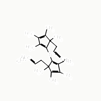 C=CCC1(C)C(C)=C(C)C(C)=[C]1[Ti+2][C]1=C(C)C(C)=C(C)C1(C)CC=C.[Cl-].[Cl-]